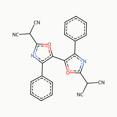 N#CC(C#N)c1nc(-c2ccccc2)c(-c2oc(C(C#N)C#N)nc2-c2ccccc2)o1